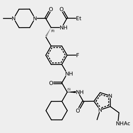 CCC(=O)N[C@H](Cc1ccc(NC(=O)[C@@H](NC(=O)c2cnc(CNC(C)=O)n2C)C2CCCCC2)c(F)c1)C(=O)N1CCN(C)CC1